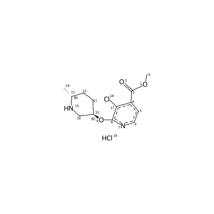 COC(=O)c1ccnc(O[C@@H]2CC[C@@H](C)NC2)c1Cl.Cl